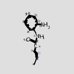 C/C=C/CC(=O)Nc1ccccc1N